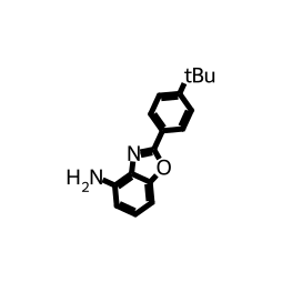 CC(C)(C)c1ccc(-c2nc3c(N)cccc3o2)cc1